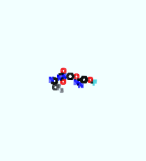 O=C1CN(c2cncc(C(F)(F)F)c2)C(=O)N1[C@H]1CC[C@H](Oc2ncnc3cc(OCF)ccc23)CC1